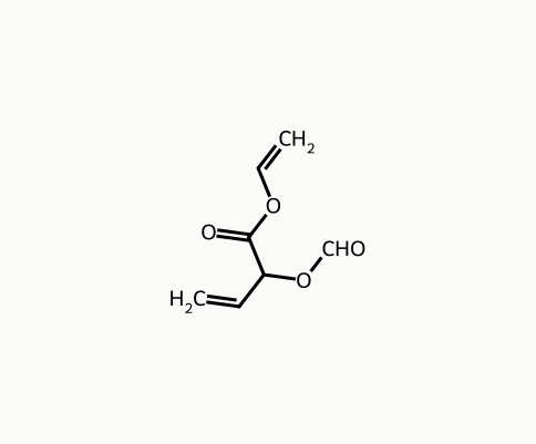 C=COC(=O)C(C=C)OC=O